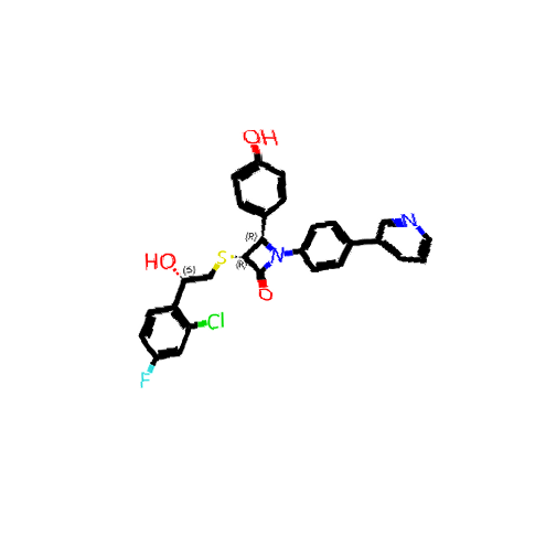 O=C1[C@H](SC[C@@H](O)c2ccc(F)cc2Cl)[C@@H](c2ccc(O)cc2)N1c1ccc(-c2cccnc2)cc1